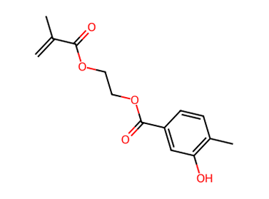 C=C(C)C(=O)OCCOC(=O)c1ccc(C)c(O)c1